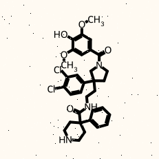 COc1cc(C(=O)N2CCC(CCNC(=O)C3(c4ccccc4)CCNCC3)(c3ccc(Cl)c(Cl)c3)C2)cc(OC)c1O